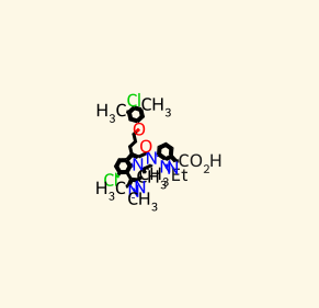 CCn1nc2c(N3CC(C)n4c(c(CCCOc5cc(C)c(Cl)c(C)c5)c5ccc(Cl)c(-c6c(C)nn(C)c6C)c54)C3=O)cccc2c1C(=O)O